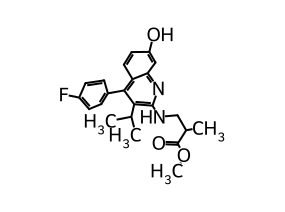 COC(=O)C(C)CNc1nc2cc(O)ccc2c(-c2ccc(F)cc2)c1C(C)C